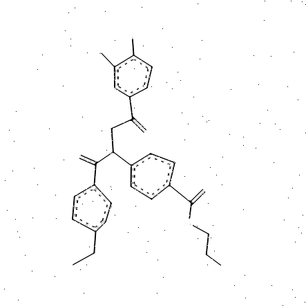 CC(C)Cc1ccc(C(=O)C(CC(=O)c2ccc(Cl)c(Cl)c2)c2ccc(C(=O)NCCC(=O)O)cc2)cc1